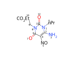 CCCn1c(N)c(N=O)c(=O)n(CC(=O)OCC)c1=O